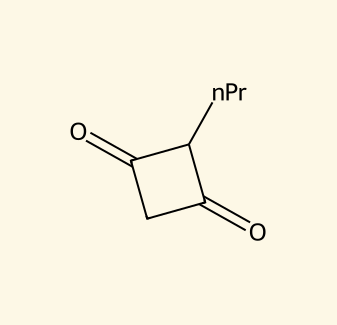 CCCC1C(=O)CC1=O